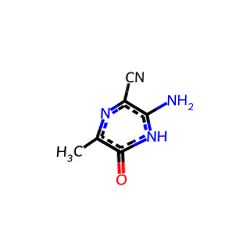 Cc1nc(C#N)c(N)[nH]c1=O